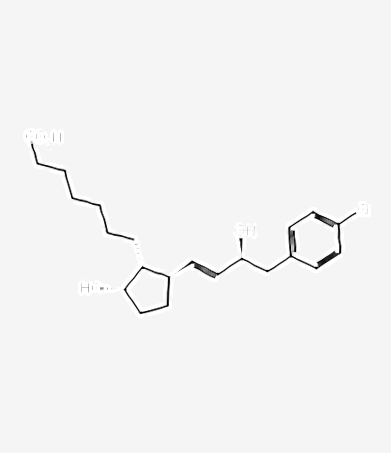 O=C(O)CCCCCC[C@H]1[C@@H](O)CC[C@@H]1/C=C/[C@@H](O)Cc1ccc(Cl)cc1